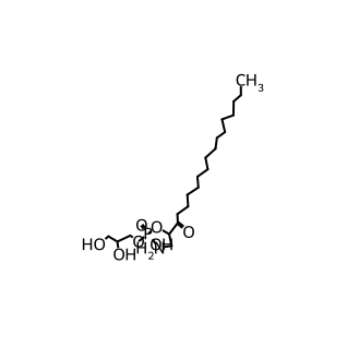 CCCCCCCCCCCCCCCC(=O)C(CN)OP(=O)(O)OCC(O)CO